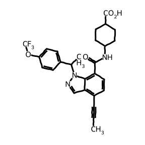 CC#Cc1ccc(C(=O)NC2CCC(C(=O)O)CC2)c2c1cnn2C(C)c1ccc(OC(F)(F)F)cc1